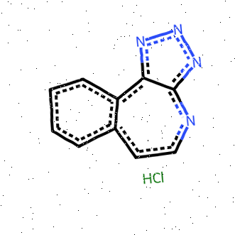 Cl.c1ccc2c3nnnc-3nccc2c1